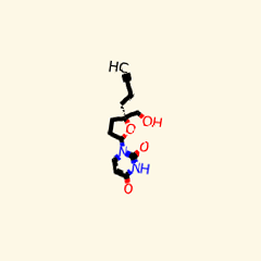 C#CCC[C@@]1(CO)CCC(n2ccc(=O)[nH]c2=O)O1